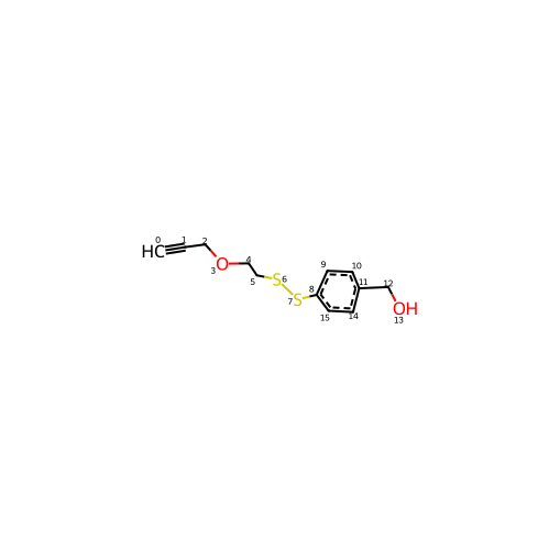 C#CCOCCSSc1ccc(CO)cc1